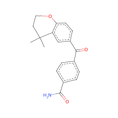 CC1(C)CCOc2ccc(C(=O)c3ccc(C(N)=O)cc3)cc21